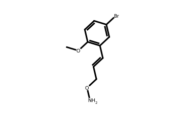 COc1ccc(Br)cc1/C=C/CON